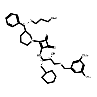 COCCCO[C@@H](c1ccccc1)C1CCCN(c2c(N[C@@H](CC3CCCCC3)[C@H](O)CNCc3cc(OC)cc(OC)c3)c(=O)c2=O)C1